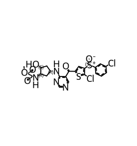 COS(=O)(=O)N[C@@H]1C[C@@H](Nc2ncncc2C(=O)c2cc([S@+]([O-])c3cccc(Cl)c3)c(Cl)s2)C[C@@H]1O